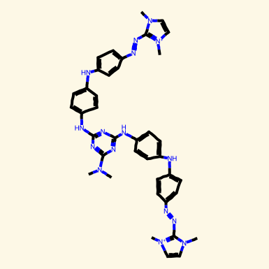 CN(C)c1nc(Nc2ccc(Nc3ccc(/N=N/c4n(C)cc[n+]4C)cc3)cc2)nc(Nc2ccc(Nc3ccc(/N=N/c4n(C)cc[n+]4C)cc3)cc2)n1